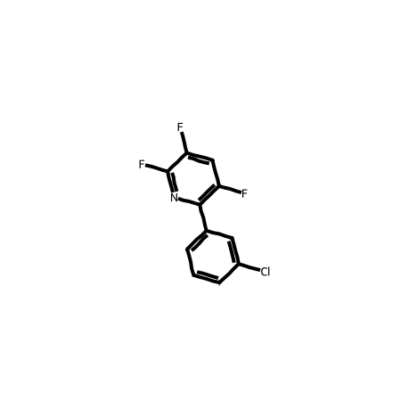 Fc1cc(F)c(-c2cc[c]c(Cl)c2)nc1F